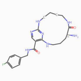 N[C@H]1CCCNc2nc(ncc2C(=O)NCc2ccc(F)cc2)NCCCCNC1=O